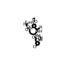 COC(=O)Nc1ccc2c(c1)N[C@@H](C(=O)OCC(F)(F)F)CCCC[C@H](NC(=O)/C=C/c1cc(Cl)ccc1-n1cnnn1)c1nc-2c(C#N)[nH]1